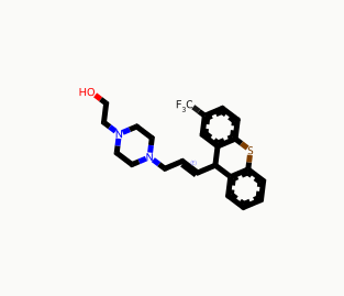 OCCN1CCN(C/C=C/C2c3ccccc3Sc3ccc(C(F)(F)F)cc32)CC1